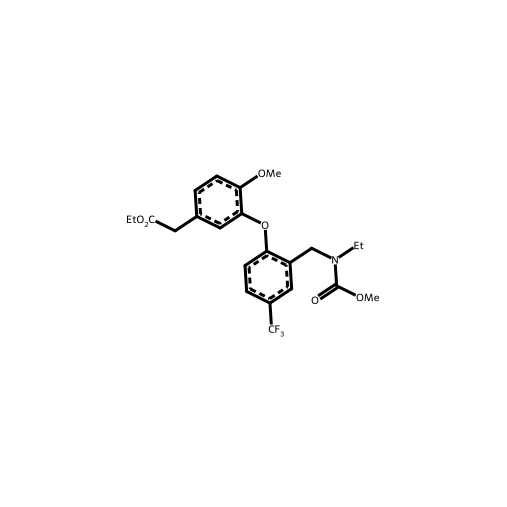 CCOC(=O)Cc1ccc(OC)c(Oc2ccc(C(F)(F)F)cc2CN(CC)C(=O)OC)c1